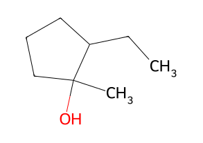 CCC1CCCC1(C)O